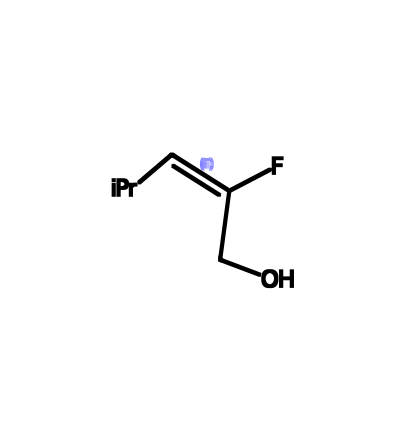 CC(C)/C=C(/F)CO